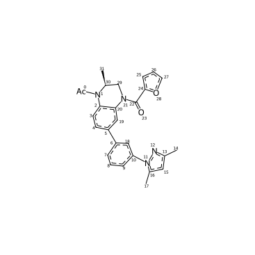 CC(=O)N1c2ccc(-c3cccc(-n4nc(C)cc4C)c3)cc2N(C(=O)c2ccco2)C[C@@H]1C